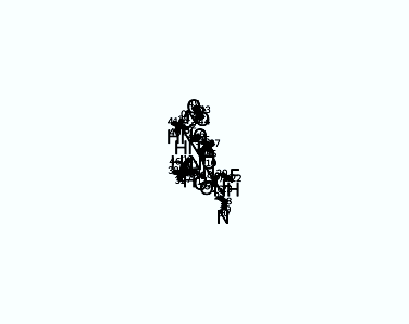 CN(C[C@@H](NC(=O)N[C@H](C(=O)N1C[C@H]2[C@@H]([C@H]1C(=O)N[C@@H](CC(F)F)C(=O)NCCC#N)C2(C)C)C(C)(C)C)C(C)(C)C)S(C)(=O)=O